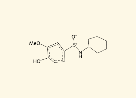 COc1cc([S+]([O-])NC2CCCCC2)ccc1O